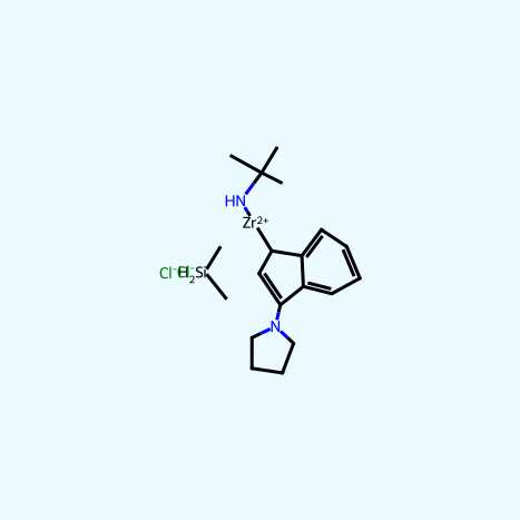 CC(C)(C)[NH][Zr+2][CH]1C=C(N2CCCC2)c2ccccc21.C[SiH2]C.[Cl-].[Cl-]